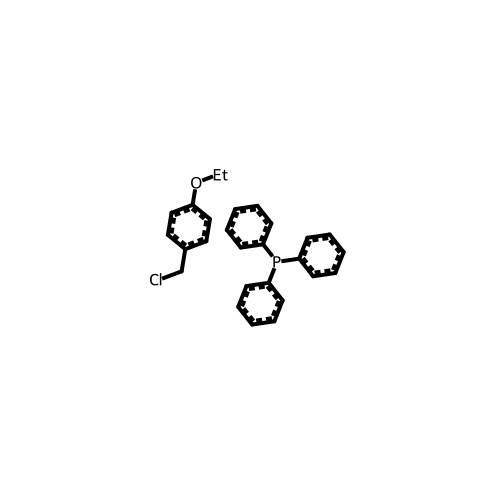 CCOc1ccc(CCl)cc1.c1ccc(P(c2ccccc2)c2ccccc2)cc1